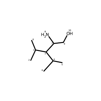 CC(C)C(C(C)C)C(N)CO